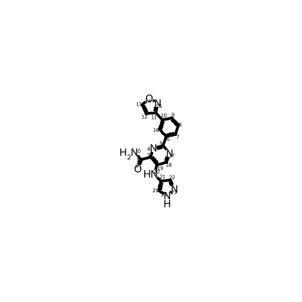 NC(=O)c1nc(-c2cccc(-c3ccon3)c2)ncc1Nc1cn[nH]c1